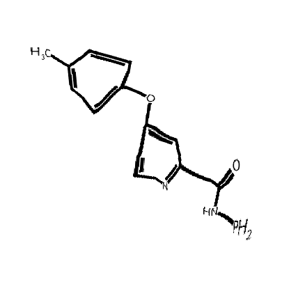 Cc1ccc(Oc2ccnc(C(=O)NP)c2)cc1